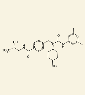 Cc1cc(C)cc(NC(=O)N(Cc2ccc(C(=O)NC[C@@H](O)C(=O)O)cc2)C2CCC(C(C)(C)C)CC2)c1